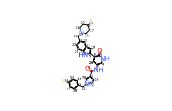 O=C(Nc1c[nH]c(=O)c(-c2cc3cc(CN4CCC(F)CC4)ccc3[nH]2)c1)c1cnn(Cc2ccc(F)cc2)c1